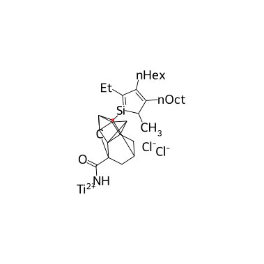 CCCCCCCCC1=C(CCCCCC)C(CC)=[Si](C2C3CC4(C(=O)[NH][Ti+2])CC25C2C46C4C6(C3)C245)C1C.[Cl-].[Cl-]